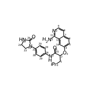 CC(C)CC(Oc1ccc2ccnc(N)c2c1)C(=O)Nc1ccc(N2CCNC2=O)cc1